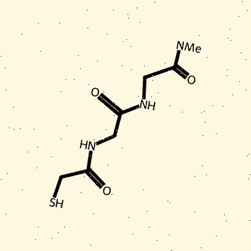 CNC(=O)CNC(=O)CNC(=O)CS